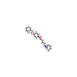 c1ccc(COc2ccc(OCCCCCN3CCCCC3)cc2)cc1